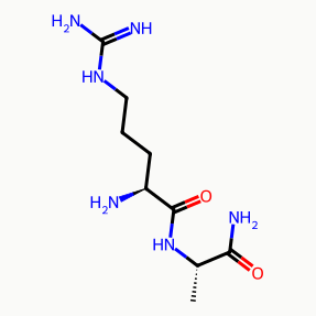 C[C@H](NC(=O)[C@@H](N)CCCNC(=N)N)C(N)=O